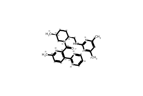 Cc1cc(C)nc(NC[C@@H]2CC[C@H](C)CN2C(=O)c2nc(C)ccc2-c2ncccn2)n1